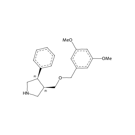 COc1cc(COC[C@H]2CNC[C@H]2c2ccccc2)cc(OC)c1